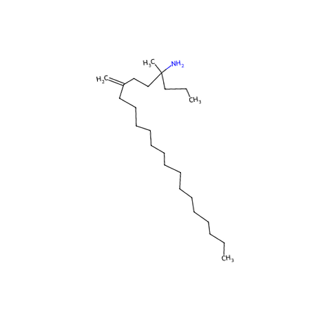 C=C(CCCCCCCCCCCCCCC)CCC(C)(N)CCC